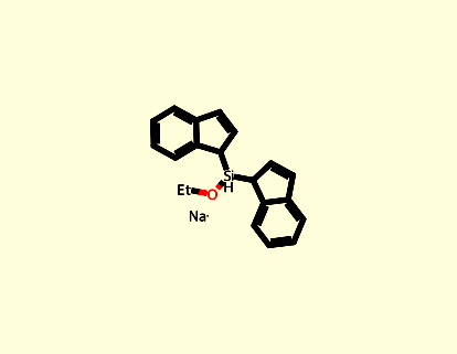 CCO[SiH](C1C=Cc2ccccc21)C1C=Cc2ccccc21.[Na]